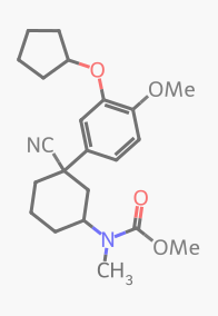 COC(=O)N(C)C1CCCC(C#N)(c2ccc(OC)c(OC3CCCC3)c2)C1